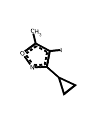 Cc1onc(C2CC2)c1I